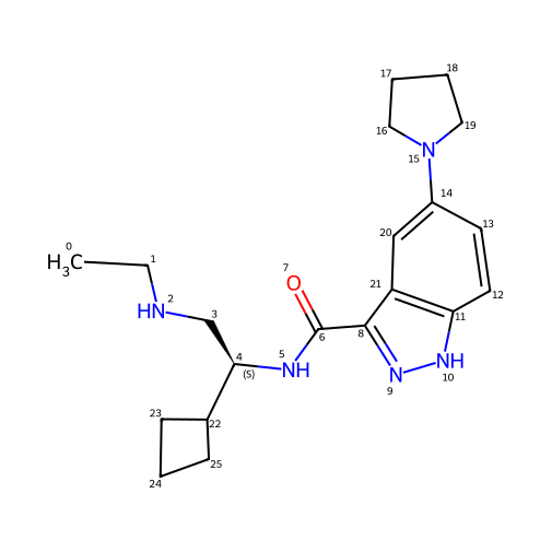 CCNC[C@@H](NC(=O)c1n[nH]c2ccc(N3CCCC3)cc12)C1CCC1